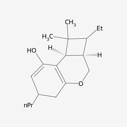 CCCC1C=C(O)C2=C(C1)OC[C@@H]1C(CC)C(C)(C)[C@H]21